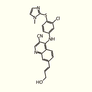 Cn1ccnc1Sc1ccc(Nc2c(C#N)cnc3cc(C=CCO)ccc23)cc1Cl